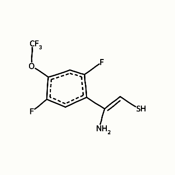 N/C(=C\S)c1cc(F)c(OC(F)(F)F)cc1F